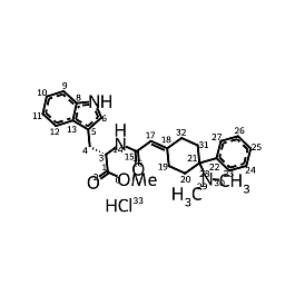 COC(=O)[C@H](Cc1c[nH]c2ccccc12)NC(=O)C=C1CCC(c2ccccc2)(N(C)C)CC1.Cl